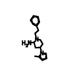 Cc1cccn1C1CCN(CCc2ccccc2)C(N)C1